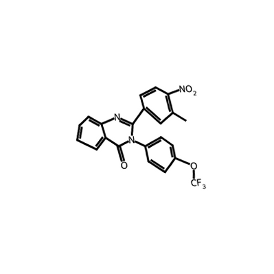 Cc1cc(-c2nc3ccccc3c(=O)n2-c2ccc(OC(F)(F)F)cc2)ccc1[N+](=O)[O-]